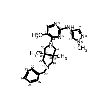 Cc1cnc(Nc2cnn(C)c2)nc1N1C[C@]2(C)CN(Cc3ccccc3)C[C@]2(C)C1